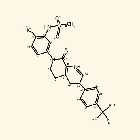 CS(=O)(=O)Nc1cc(N2CCc3cc(-c4ccc(C(F)(F)F)cc4)cnc3C2=O)ccc1O